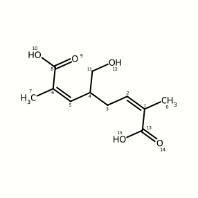 CC(=CCC(C=C(C)C(=O)O)CO)C(=O)O